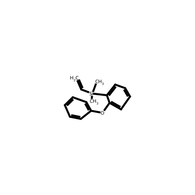 C=C[Si](C)(C)c1ccccc1Oc1ccccc1